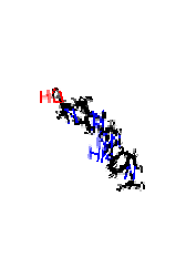 CC(C)n1ccc2cc(Nc3nccc(-n4cc(CN5CC(O)C5)c(C5CC5)n4)n3)ccc21